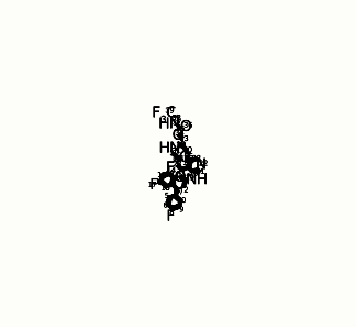 O=C(C[C@@H](c1ccc(F)cc1)c1cc(F)cc(F)c1)Nc1cncc(F)c1CC[C@@H]1CN[C@H](COC(=O)NCC(F)(F)F)CO1